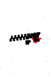 CCCCCCCCCCCCCOC(CCC)OS(=O)(=O)[O-].[K+]